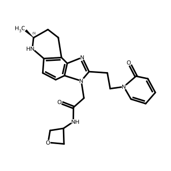 C[C@H]1CCc2c(ccc3c2nc(CCn2ccccc2=O)n3CC(=O)NC2COC2)N1